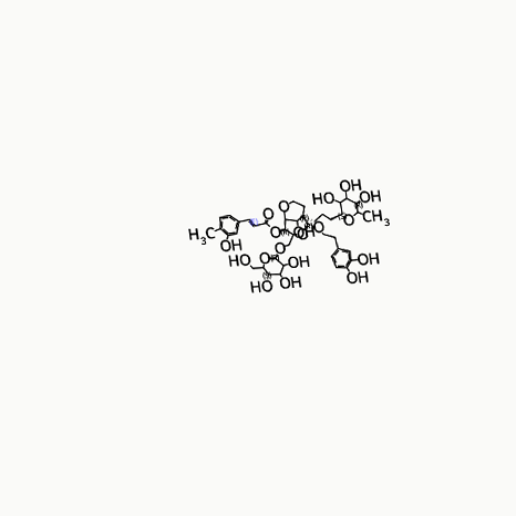 Cc1ccc(/C=C/C(=O)O[C@@H]2C(CO[C@@H]3OC(CO)[C@@H](O)C(O)C3O)O[C@@H](OCCc3ccc(O)c(O)c3)[C@]3(CCC[C@@H]4OC(C)[C@H](O)C(O)C4O)CCOC2C3O)cc1O